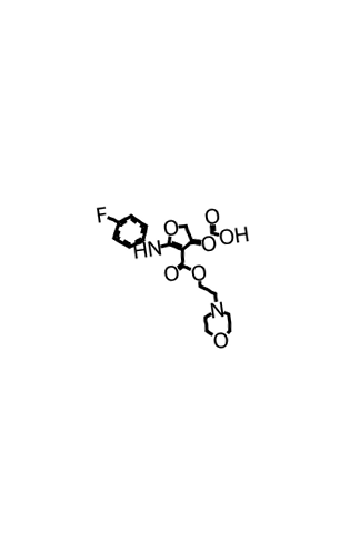 O=C1COC(Nc2ccc(F)cc2)=C1C(=O)OCCN1CCOCC1.O=CO